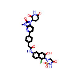 Cn1c(=O)n(C2CCC(=O)NC2=O)c2ccc(-c3ccc(CC(=O)Nc4ccc5c(F)c(N6CC(=O)NS6(=O)=O)c(O)cc5c4)cc3)nc21